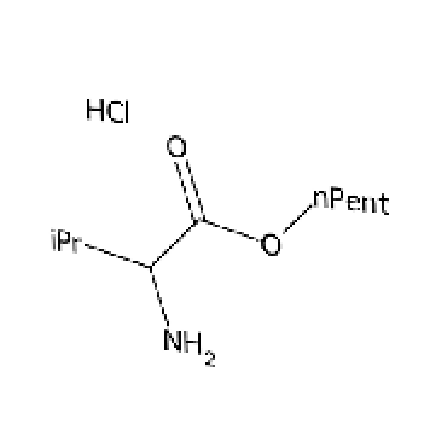 CCCCCOC(=O)C(N)C(C)C.Cl